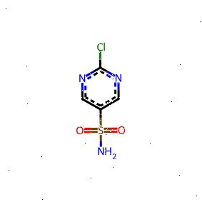 NS(=O)(=O)c1cnc(Cl)nc1